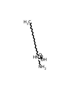 CCCCCCCCCCCCCCCCCCCCCC(=O)N[C@@H](CCCCN)C(=O)O